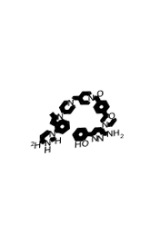 [2H]C1C=CN(c2cccc3c2cc(C)n3C2CCN(CC3CCN(C(=O)c4ccc(C5CN(c6cc(-c7ccccc7O)nnc6N)CCO5)cc4)CC3)CC2)[C@@H]([2H])N1